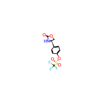 O=C1N[C@H](c2ccc(OS(=O)(=O)C(F)(F)F)cc2)CO1